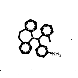 Cc1ccccc1C(c1cccc(N)c1)C1c2ccccc2CCc2ccccc21